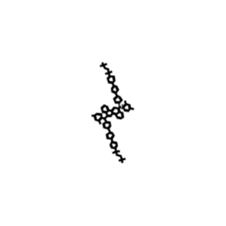 Cc1ccc(C(c2ccc(-c3ccc(-c4ccc(C(C)(C)CCC(C)(C)C)cc4)cc3)cc2)c2cc3c4ccccc4c(N(c4ccc(-c5ccc(-c6ccc(C(C)(C)CCC(C)(C)C)cc6)cc5)cc4)c4ccc(C)cc4C)cc3c3ccccc23)c(C)c1